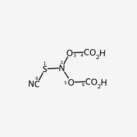 N#CSN(OC(=O)O)OC(=O)O